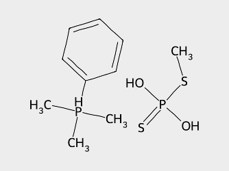 CSP(O)(O)=S.C[PH](C)(C)c1ccccc1